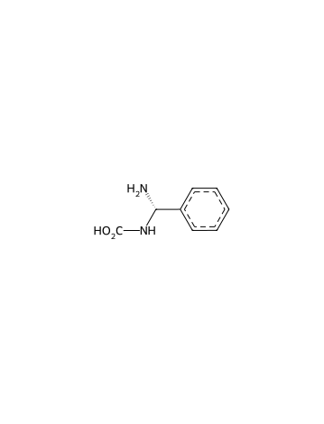 N[C@@H](NC(=O)O)c1ccccc1